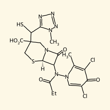 CCC(=O)N(C1C(=O)N2CC(C(=O)O)(C(S)c3nnnn3C)CS[C@H]12)n1cc(Cl)c(=O)c(Cl)c1C